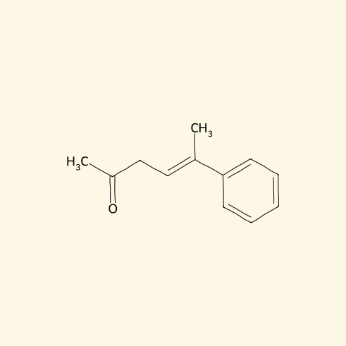 CC(=O)CC=C(C)c1ccccc1